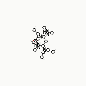 Cc1cccc(-c2ccc3c(c2)c2cc(-c4cccc(C)c4)ccc2n3-c2cc(-c3cccc(-c4cc(-c5nc(-c6ccccc6)nc(-c6ccccc6)n5)cc(-n5c6ccc(-c7cccc(C)c7)cc6c6cc(-c7cccc(C)c7)ccc65)c4)c3)cc(-c3nc(-c4ccccc4)nc(-c4ccccc4)n3)c2)c1